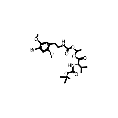 COc1cc(CCNC(=O)OC(C)OC(=O)[C@@H](NC(=O)OC(C)(C)C)C(C)C)c(OC)cc1Br